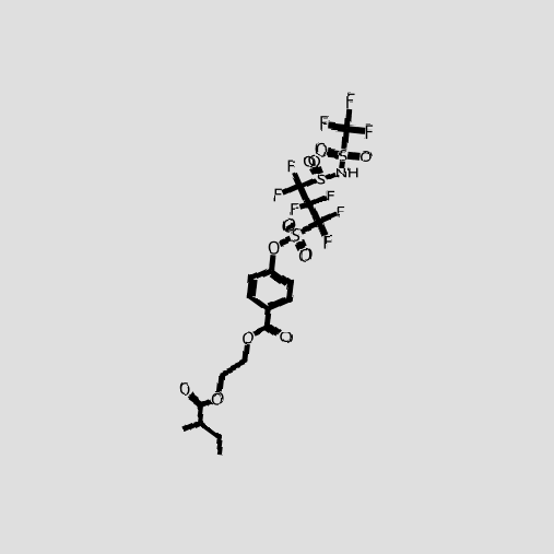 CCC(C)C(=O)OCCOC(=O)c1ccc(OS(=O)(=O)C(F)(F)C(F)(F)C(F)(F)S(=O)(=O)NS(=O)(=O)C(F)(F)F)cc1